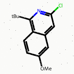 COc1ccc2c(C(C)(C)C)nc(Cl)cc2c1